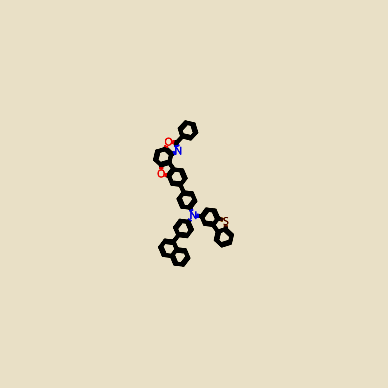 c1ccc(-c2nc3c(ccc4oc5cc(-c6ccc(N(c7ccc(-c8cccc9ccccc89)cc7)c7ccc8sc9ccccc9c8c7)cc6)ccc5c43)o2)cc1